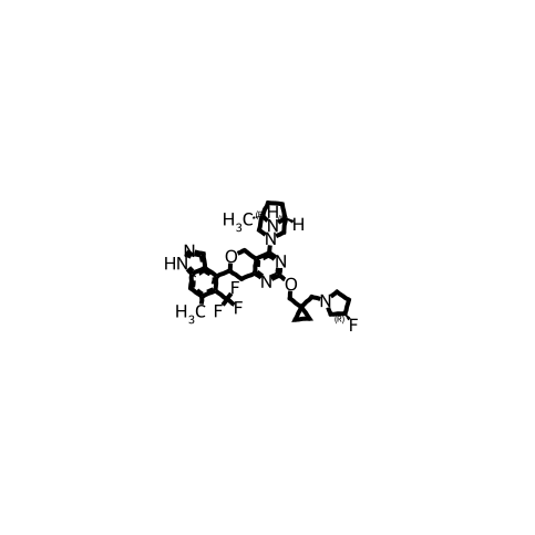 Cc1cc2[nH]ncc2c(C2Cc3nc(OCC4(CN5CC[C@@H](F)C5)CC4)nc(N4C[C@H]5CC[C@](C)(C4)N5)c3CO2)c1C(F)(F)F